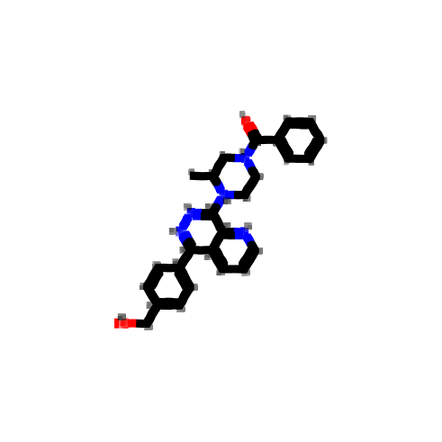 CC1CN(C(=O)c2ccccc2)CCN1c1nnc(-c2ccc(CO)cc2)c2cccnc12